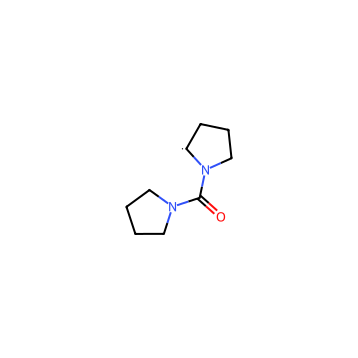 O=C(N1[CH]CCC1)N1CCCC1